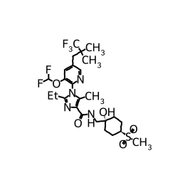 CCc1nc(C(=O)NC[C@]2(O)CC[C@H](S(C)(=O)=O)CC2)c(C)n1-c1ncc(CC(C)(C)C(F)(F)F)cc1OC(F)F